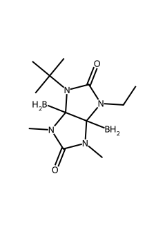 BC12N(C)C(=O)N(C)C1(B)N(C(C)(C)C)C(=O)N2CC